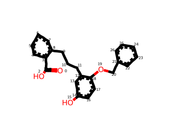 O=C(O)c1ccccc1CCCc1cc(O)ccc1OCc1ccccc1